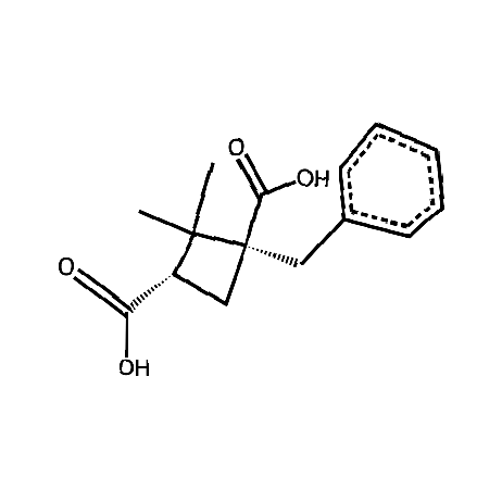 CC1(C)[C@@H](C(=O)O)C[C@]1(Cc1ccccc1)C(=O)O